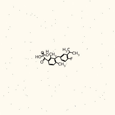 Cc1ccc(C(=O)P(=O)(O)O)c(C)c1Cc1ccc(F)c(C(C)C)c1